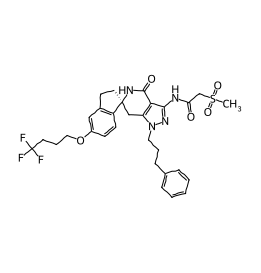 CS(=O)(=O)CC(=O)Nc1nn(CCCc2ccccc2)c2c1C(=O)N[C@@]1(CCc3cc(OCCCC(F)(F)F)ccc31)C2